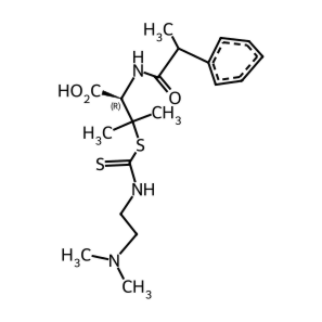 CC(C(=O)N[C@H](C(=O)O)C(C)(C)SC(=S)NCCN(C)C)c1ccccc1